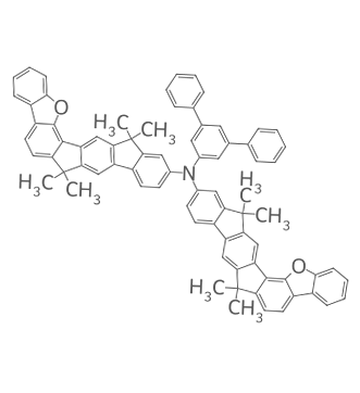 CC1(C)c2cc(N(c3cc(-c4ccccc4)cc(-c4ccccc4)c3)c3ccc4c(c3)C(C)(C)c3cc5c(cc3-4)C(C)(C)c3ccc4c(oc6ccccc64)c3-5)ccc2-c2cc3c(cc21)-c1c(ccc2c1oc1ccccc12)C3(C)C